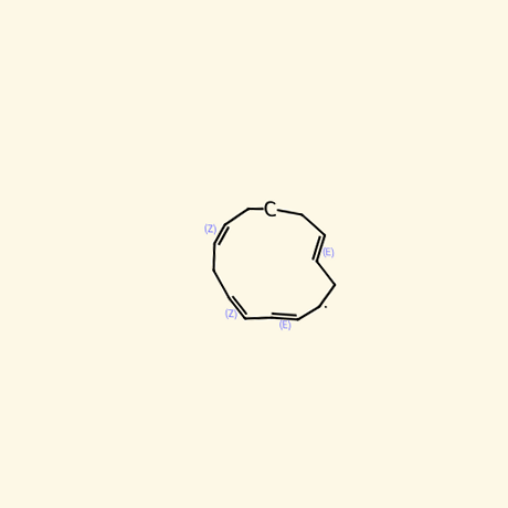 [CH]1/C=C/C=C\C/C=C\CCC/C=C/C1